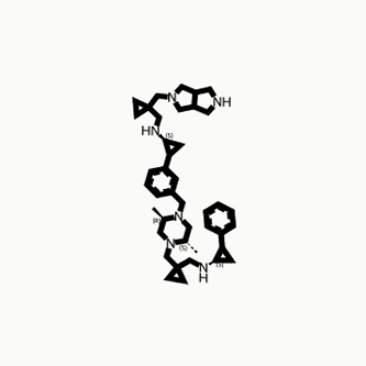 C[C@@H]1CN(CC2(CN[C@H]3CC3c3ccccc3)CC2)[C@@H](C)CN1Cc1cccc(C2C[C@@H]2NCC2(CN3CC4CNCC4C3)CC2)c1